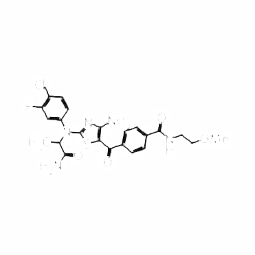 COCCNC(=O)c1ccc(C(=O)c2sc(N(c3ccc(Cl)c(F)c3)C(C)C(N)=O)nc2N)cc1